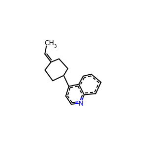 CC=C1CCC(c2ccnc3ccccc23)CC1